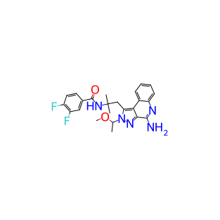 COC(C)n1nc2c(N)nc3ccccc3c2c1CC(C)(C)NC(=O)c1ccc(F)c(F)c1